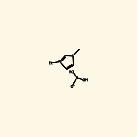 CC[n+]1ccn(C)c1.[O-]B(O)O